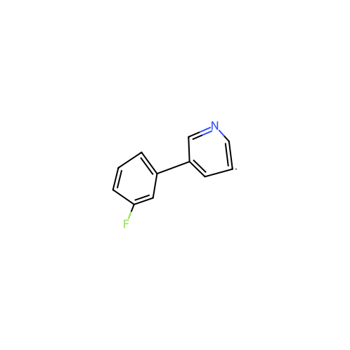 Fc1cccc(-c2c[c]cnc2)c1